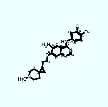 CN1CCC2(CC1)CC2CCOc1cc2ncnc(Nc3ccc(F)c(Cl)c3)c2cc1N